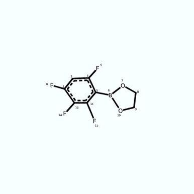 Fc1cc(F)c(B2OCCO2)c(F)c1F